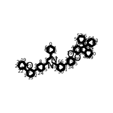 c1ccc(-c2cc(-c3ccc(-c4cccc5c4oc4ccccc45)cc3)nc(-c3cccc(-c4ccc5c(c4)Oc4ccc6c(c4O5)-c4ccccc4C6(c4ccccc4)c4ccccc4)c3)n2)cc1